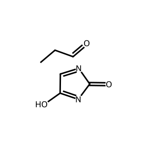 CCC=O.O=C1N=CC(O)=N1